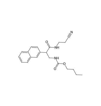 CCCCOC(=O)NCC(C(=O)NCCC#N)c1ccc2ccccc2c1